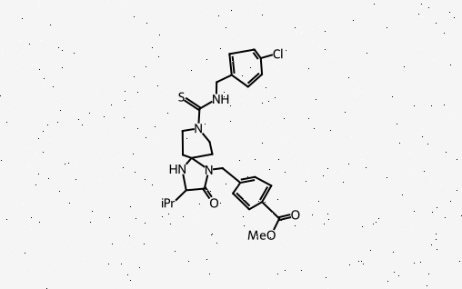 COC(=O)c1ccc(CN2C(=O)C(C(C)C)NC23CCN(C(=S)NCc2ccc(Cl)cc2)CC3)cc1